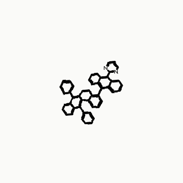 c1ccc(-c2c3ccccc3c(-c3ccccc3)c3c2ccc2c(-c4c5ccccc5c(-c5ncccn5)c5ccccc45)cccc23)cc1